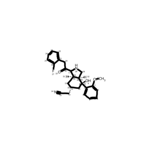 COc1ccccc1[C@]1(O)C[C@H](CC#N)C[C@H]2C(C(=O)Cc3ccccc3F)NC[C@H]21